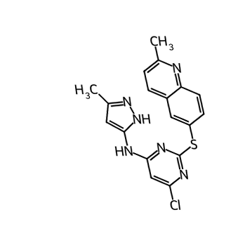 Cc1cc(Nc2cc(Cl)nc(Sc3ccc4nc(C)ccc4c3)n2)[nH]n1